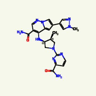 C[C@H]1CN(c2nccc(C(N)=O)n2)C[C@H]1Nc1c(C(N)=O)cnn2cc(-c3cnn(C)c3)cc12